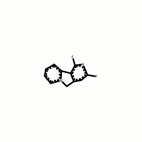 Fc1cc2c(c(F)n1)-c1cccc[n+]1C2